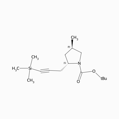 C[C@@H]1C[C@@H](CC#C[Si](C)(C)C)N(C(=O)OC(C)(C)C)C1